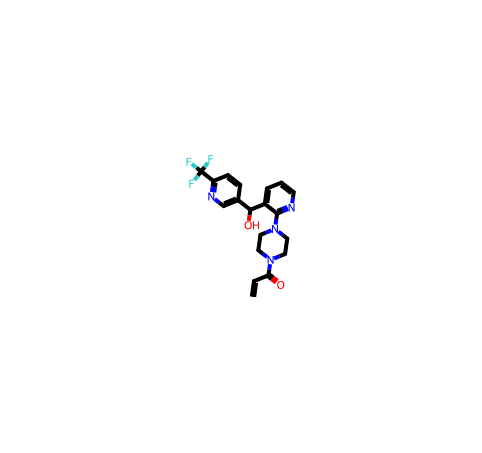 C=CC(=O)N1CCN(c2ncccc2C(O)c2ccc(C(F)(F)F)nc2)CC1